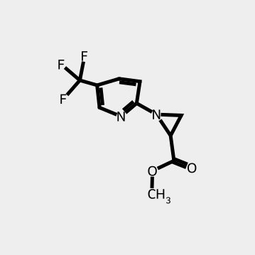 COC(=O)C1CN1c1ccc(C(F)(F)F)cn1